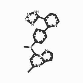 Cc1cc(N(C)c2ccc(-c3ncccc3-c3nnn[nH]3)cc2)n2nccc2n1